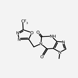 Cn1cnc2[nH]c(=O)n(Cc3nnc(C(F)(F)F)o3)c(=O)c21